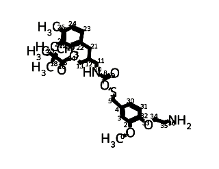 COc1cc(CSOC(=O)NCC(COC(=O)C(C)(C)C)Cc2ccc(C)c(C)c2)ccc1OCCN